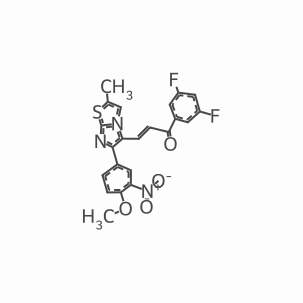 COc1ccc(-c2nc3sc(C)cn3c2C=CC(=O)c2cc(F)cc(F)c2)cc1[N+](=O)[O-]